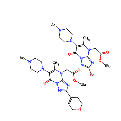 CC(=O)N1CCN(c2c(C)n(CC(=O)OC(C)(C)C)c3nc(Br)nn3c2=O)CC1.CC(=O)N1CCN(c2c(C)n(CC(=O)OC(C)(C)C)c3nc(C4=CCOCC4)nn3c2=O)CC1